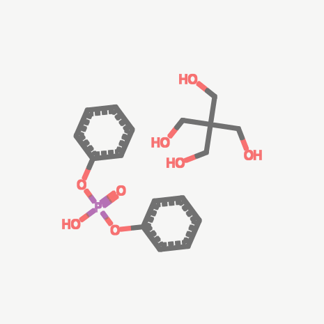 O=P(O)(Oc1ccccc1)Oc1ccccc1.OCC(CO)(CO)CO